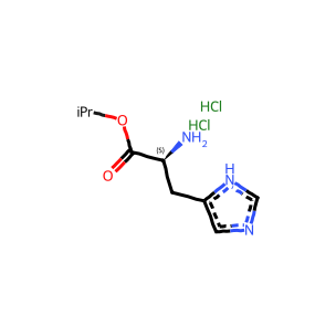 CC(C)OC(=O)[C@@H](N)Cc1cnc[nH]1.Cl.Cl